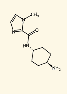 Cn1ccnc1C(=O)N[C@H]1CC[C@H](N)CC1